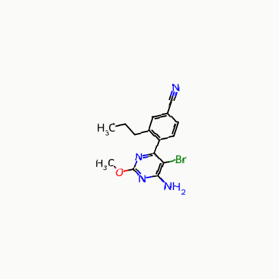 CCCc1cc(C#N)ccc1-c1nc(OC)nc(N)c1Br